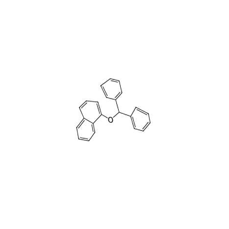 c1ccc(C(Oc2cccc3ccccc23)c2ccccc2)cc1